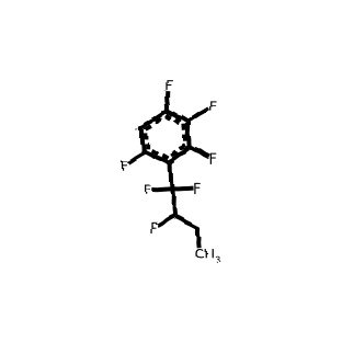 CCC(F)C(F)(F)c1c(F)[c]c(F)c(F)c1F